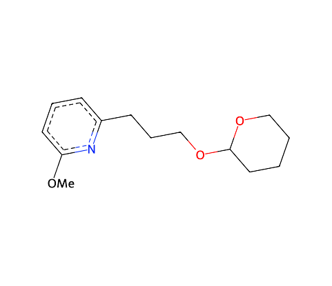 COc1cccc(CCCOC2CCCCO2)n1